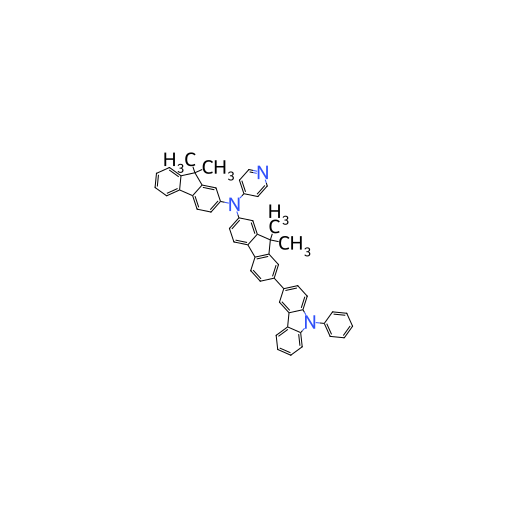 CC1(C)c2ccccc2-c2ccc(N(c3ccncc3)c3ccc4c(c3)C(C)(C)c3cc(-c5ccc6c(c5)c5ccccc5n6-c5ccccc5)ccc3-4)cc21